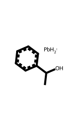 CC(O)c1ccccc1.[PbH2]